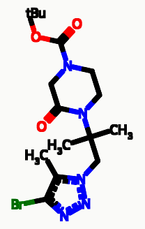 Cc1c(Br)nnn1CC(C)(C)N1CCN(C(=O)OC(C)(C)C)CC1=O